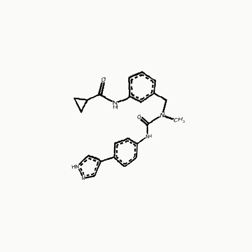 CN(Cc1cccc(NC(=O)C2CC2)c1)C(=O)Nc1ccc(-c2cn[nH]c2)cc1